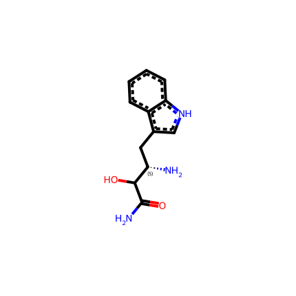 NC(=O)C(O)[C@@H](N)Cc1c[nH]c2ccccc12